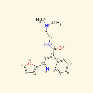 CN(C)CCNC(=O)c1cc(-c2ccco2)nc2ccccc12